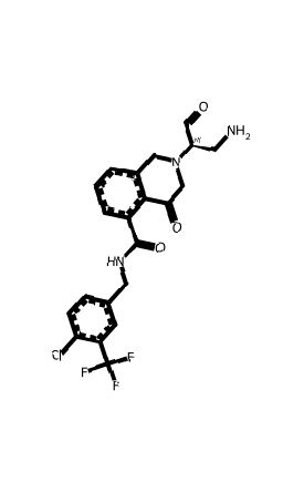 NC[C@H](C=O)N1CC(=O)c2c(cccc2C(=O)NCc2ccc(Cl)c(C(F)(F)F)c2)C1